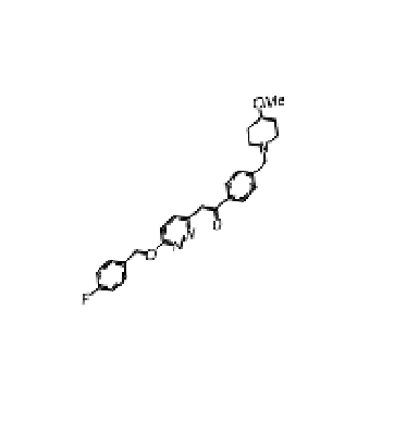 COC1CCN(Cc2ccc(C(=O)Cc3ccc(OCc4ccc(F)cc4)nn3)cc2)CC1